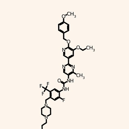 CCOc1cc(-c2ncc(NC(=O)Nc3cc(C(F)(F)F)c(CN4CCN(CCO)CC4)cc3F)c(C)n2)cnc1OCc1ccc(OC)cc1